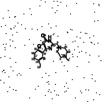 CN1CCN(Cc2nc3c(oc4ccc(I)cc43)c(=O)[nH]2)CC1